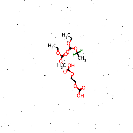 CCOC(=O)OC.CCOC(=O)OC(C)(F)F.O=C(O)OCCOC(=O)O